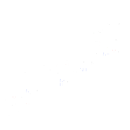 CC(C)C[C@H](NC(=O)c1ccc2c(c1)CN(C(=O)OC(C)(C)C)CC2)C(=O)NCCCNS(=O)(=O)c1ccc(F)cc1Cl